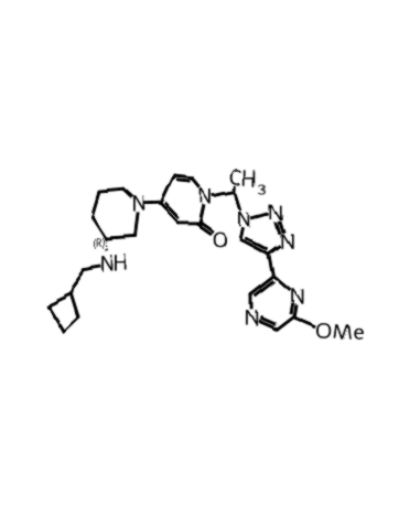 COc1cncc(-c2cn(C(C)n3ccc(N4CCC[C@@H](NCC5CCC5)C4)cc3=O)nn2)n1